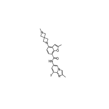 Cc1cn2cc(NC(=O)c3ccc(N4CC5(CN(C)C5)C4)c4cc(C)oc34)cc(F)c2n1